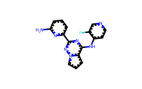 Nc1cccc(-c2nc(Nc3ccncc3F)c3cccn3n2)n1